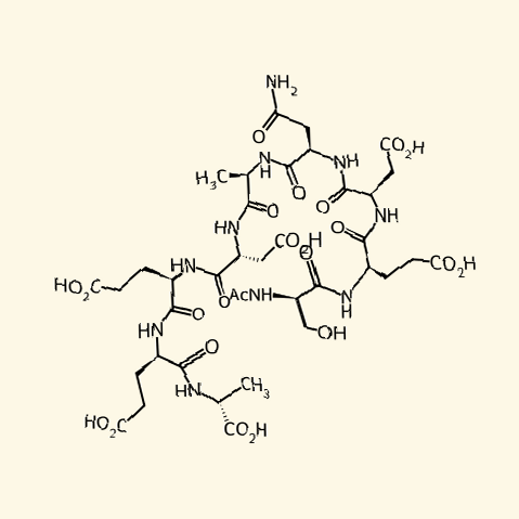 CC(=O)N[C@H](CO)C(=O)N[C@H](CCC(=O)O)C(=O)N[C@H](CC(=O)O)C(=O)N[C@H](CC(N)=O)C(=O)N[C@H](C)C(=O)N[C@H](CC(=O)O)C(=O)N[C@H](CCC(=O)O)C(=O)N[C@H](CCC(=O)O)C(=O)N[C@H](C)C(=O)O